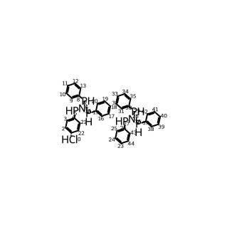 Cl.c1ccc([PH][Ni]([PH]c2ccccc2)[PH]c2ccccc2)cc1.c1ccc([PH][Ni]([PH]c2ccccc2)[PH]c2ccccc2)cc1